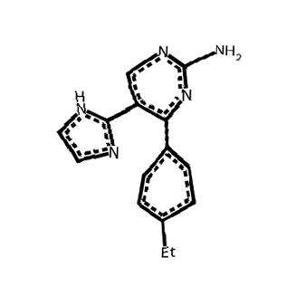 CCc1ccc(-c2nc(N)ncc2-c2ncc[nH]2)cc1